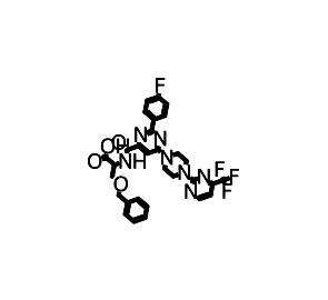 O=C(NC(COCc1ccccc1)C(=O)O)c1cc(N2CCN(c3nccc(C(F)(F)F)n3)CC2)nc(-c2ccc(F)cc2)n1